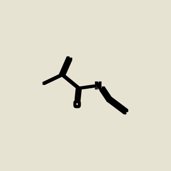 C=C=NC(=O)C(=C)C